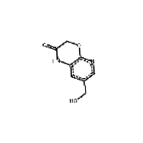 O=C1COc2ncc(CO)cc2N1